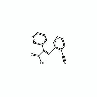 N#Cc1ccccc1/C=C(/C(=O)O)c1cccnc1